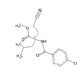 COC(=O)[C@](CCC#N)(CC(C)C)NC(=O)c1ccc(Cl)cc1